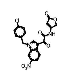 O=C1C=C(NC(=O)C(=O)c2cn(Cc3ccc(Cl)cc3)c3cc([N+](=O)[O-])ccc23)CO1